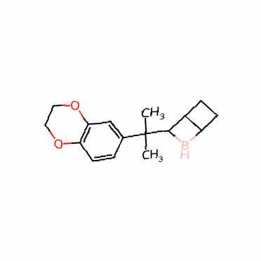 CC(C)(c1ccc2c(c1)OCCO2)C1BC2CCC21